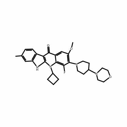 COc1cc2c(=O)c3c4ccc(C)cc4[nH]c3n(C3CCC3)c2c(F)c1N1CCC(N2CCOCC2)CC1